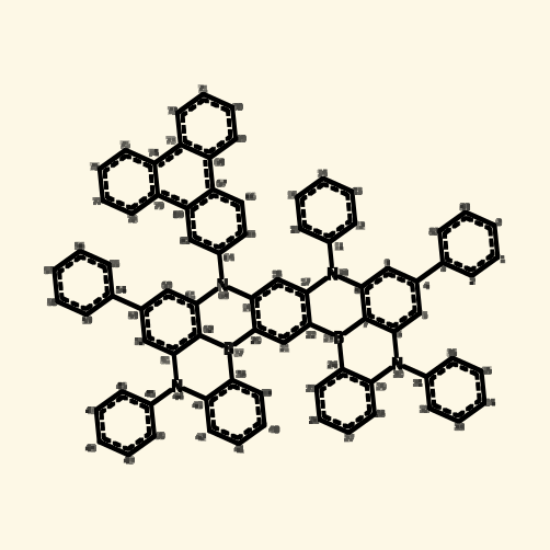 c1ccc(-c2cc3c4c(c2)N(c2ccccc2)c2cc5c(cc2B4c2ccccc2N3c2ccccc2)B2c3ccccc3N(c3ccccc3)c3cc(-c4ccccc4)cc(c32)N5c2ccc3c4ccccc4c4ccccc4c3c2)cc1